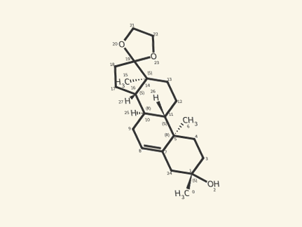 C[C@]1(O)CC[C@@]2(C)C(=CC[C@@H]3[C@@H]2CC[C@@]2(C)[C@H]3CCC23OCCO3)C1